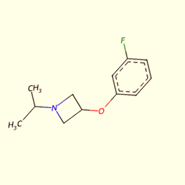 CC(C)N1CC(Oc2cccc(F)c2)C1